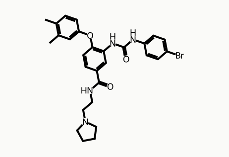 Cc1ccc(Oc2ccc(C(=O)NCCN3CCCC3)cc2NC(=O)Nc2ccc(Br)cc2)cc1C